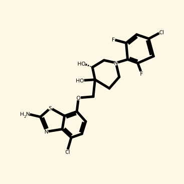 Nc1nc2c(Cl)ccc(OCC3(O)CCN(c4c(F)cc(Cl)cc4F)C[C@H]3O)c2s1